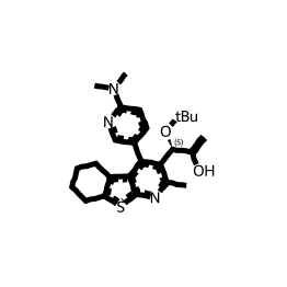 C=C(O)[C@@H](OC(C)(C)C)c1c(C)nc2sc3c(c2c1-c1ccc(N(C)C)nc1)CCCC3